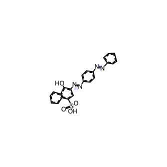 O=S(=O)(O)c1cc(/N=N/c2ccc(/N=N/c3ccccc3)cc2)c(O)c2ccccc12